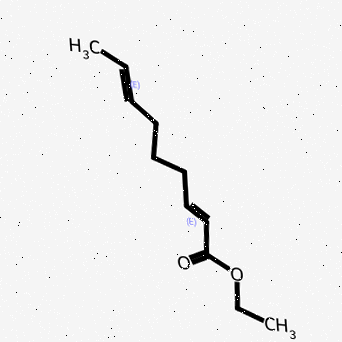 C/C=C/CCC/C=C/C(=O)OCC